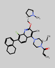 C=CC(=O)N1CCN(C2=C(C#N)C(OC[C@@H]3CCCN3C)=NC3C(F)=C(c4cccc5c4CCCC5)C=CC23)C[C@@H]1CC#N